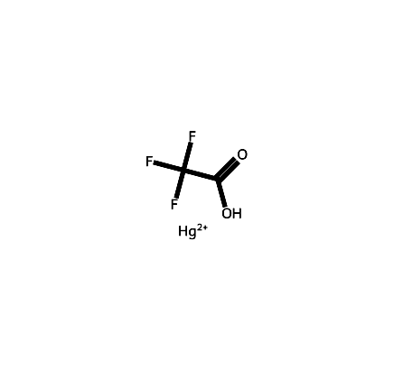 O=C(O)C(F)(F)F.[Hg+2]